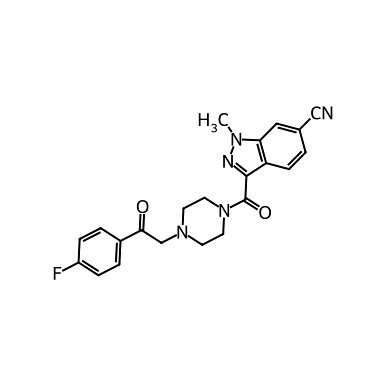 Cn1nc(C(=O)N2CCN(CC(=O)c3ccc(F)cc3)CC2)c2ccc(C#N)cc21